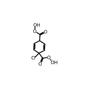 O=C(OO)C1C=CC(Cl)(C(=O)OO)C=C1